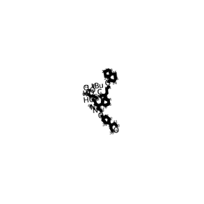 CN(CCCn1c(C(=O)O)c(CCCOc2cccc3ccccc23)c2cccc(-c3c(COc4ccc(C5CCOCC5)cc4)nn(C)c3CO)c21)C(=O)OC(C)(C)C